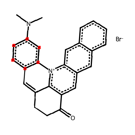 CN(C)c1ccc(/C=C2/CCC(=O)c3cc4cc5ccccc5cc4[n+](-c4ccccc4)c32)cc1.[Br-]